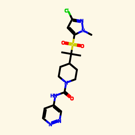 Cn1nc(Cl)cc1S(=O)(=O)C(C)(C)C1CCN(C(=O)Nc2ccnnc2)CC1